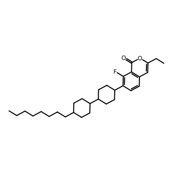 CCCCCCCCC1CCC(C2CCC(c3ccc4cc(CC)oc(=O)c4c3F)CC2)CC1